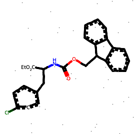 CCOC(=O)C(Cc1ccc(Cl)cc1)NC(=O)OCC1c2ccccc2-c2ccccc21